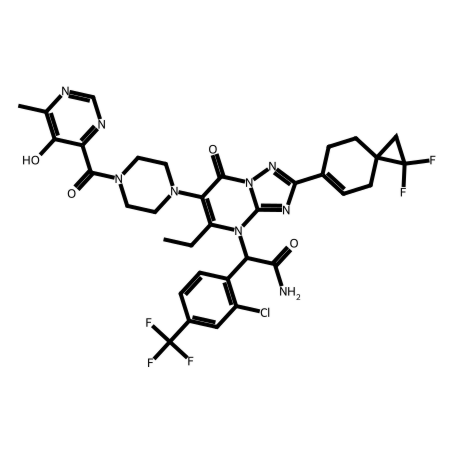 CCc1c(N2CCN(C(=O)c3ncnc(C)c3O)CC2)c(=O)n2nc(C3=CCC4(CC3)CC4(F)F)nc2n1C(C(N)=O)c1ccc(C(F)(F)F)cc1Cl